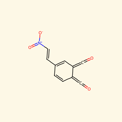 O=C=c1ccc(C=C[N+](=O)[O-])cc1=C=O